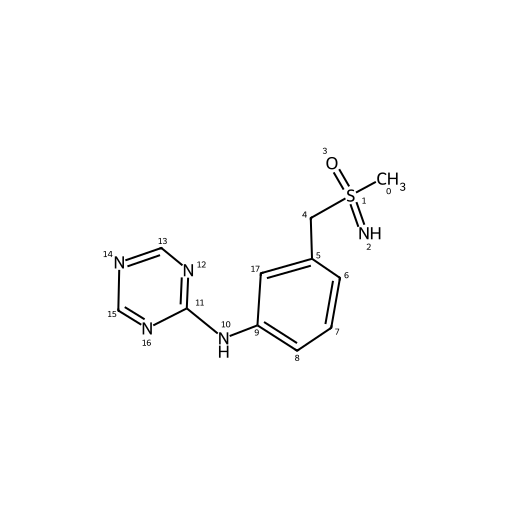 CS(=N)(=O)Cc1cccc(Nc2ncncn2)c1